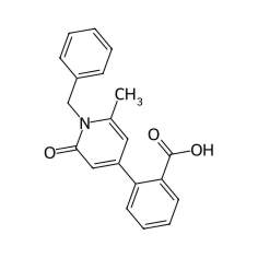 Cc1cc(-c2ccccc2C(=O)O)cc(=O)n1Cc1ccccc1